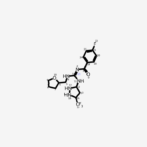 O=C(/N=C(/NCC1CCCO1)NC1CC(C(F)(F)F)NN1)c1ccc(F)cc1